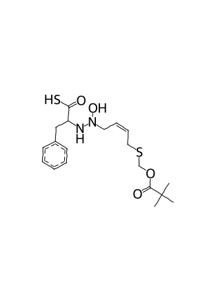 CC(C)(C)C(=O)OCSC/C=C\CN(O)NC(Cc1ccccc1)C(=O)S